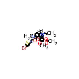 C=CCN1CC[C@]23c4c5c(OC(C)=O)cc(OC)c4O[C@H]2[C@H](N(C)C(=O)/C=C/c2cc(Br)cs2)CC[C@H]3[C@H]1C5